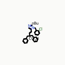 CCCCc1ncc(C=CC(Cc2ccccc2)(Cc2ccccc2)C(=O)O)n1Cc1ccccc1Cl